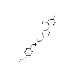 CCCc1ccc(C=NN=Cc2ccc(-c3ccc(CC)cc3F)cc2)cc1